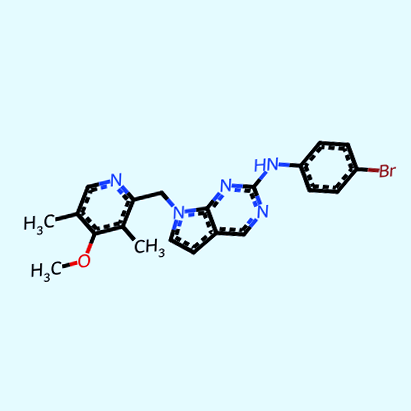 COc1c(C)cnc(Cn2ccc3cnc(Nc4ccc(Br)cc4)nc32)c1C